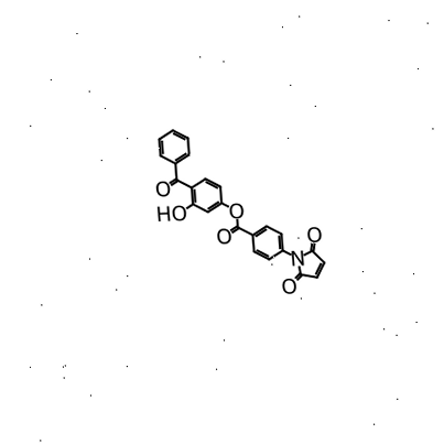 O=C(Oc1ccc(C(=O)c2ccccc2)c(O)c1)c1ccc(N2C(=O)C=CC2=O)cc1